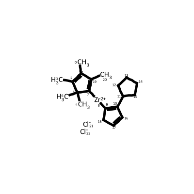 CC1=C(C)C(C)(C)[C]([Zr+2][C]2=C(C3CCCC3)C=CC2)=C1C.[Cl-].[Cl-]